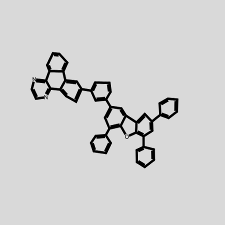 c1ccc(-c2cc(-c3ccccc3)c3oc4c(-c5ccccc5)cc(-c5cccc(-c6ccc7c(c6)c6ccccc6c6nccnc76)c5)cc4c3c2)cc1